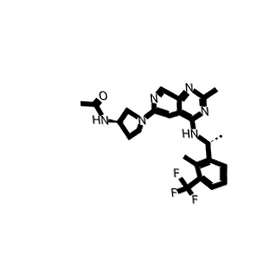 CC(=O)N[C@@H]1CCN(c2cc3c(N[C@H](C)c4cccc(C(F)(F)F)c4C)nc(C)nc3cn2)C1